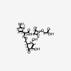 C[C@H]1[C@H](NC(=O)/C(=N\OCC2CC(=O)C(O)=CN2O)c2csc(N)n2)C(=O)N1OCC(=O)O